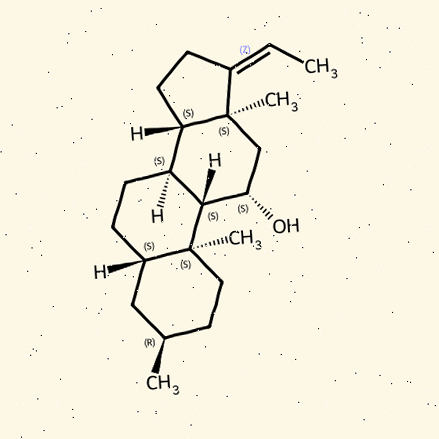 C/C=C1/CC[C@H]2[C@@H]3CC[C@H]4C[C@H](C)CC[C@]4(C)[C@H]3[C@@H](O)C[C@]12C